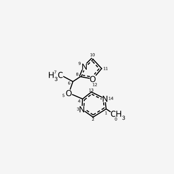 Cc1cnc(OC(C)c2ncco2)cn1